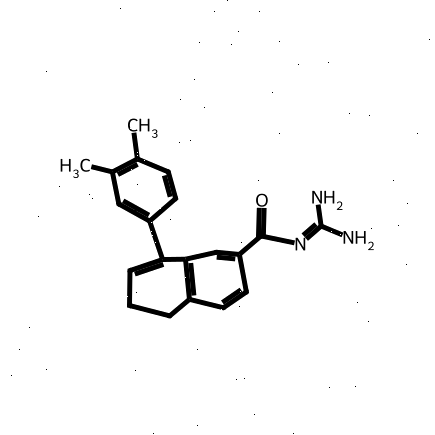 Cc1ccc(C2=CCCc3ccc(C(=O)N=C(N)N)cc32)cc1C